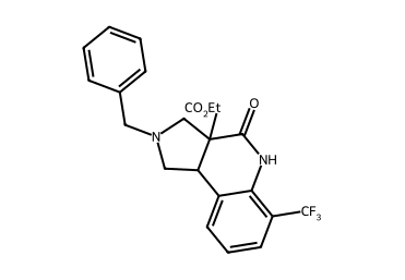 CCOC(=O)C12CN(Cc3ccccc3)CC1c1cccc(C(F)(F)F)c1NC2=O